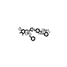 COc1cc(CN(C(=O)OCc2ccccc2)[C@H]2CCN(c3ccc(C(=O)Nc4ccccc4N)cc3)C2)cc(C)c1C